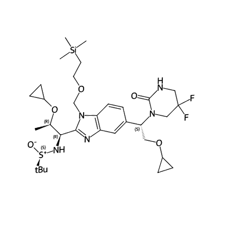 C[C@@H](OC1CC1)[C@H](N[S@+]([O-])C(C)(C)C)c1nc2cc([C@@H](COC3CC3)N3CC(F)(F)CNC3=O)ccc2n1COCC[Si](C)(C)C